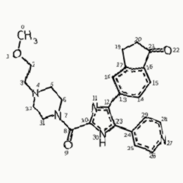 COCCN1CCN(C(=O)c2nc(-c3ccc4c(c3)CCC4=O)c(-c3ccncc3)[nH]2)CC1